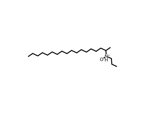 CCCCCCCCCCCCCCCCC(C)[NH+]([O-])CCC